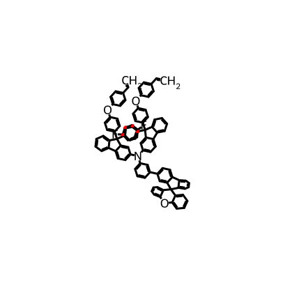 C=Cc1ccc(Oc2ccc(C3(c4ccc(F)cc4)c4ccccc4-c4ccc(N(c5cccc(-c6ccc7c(c6)C6(c8ccccc8Oc8ccccc86)c6ccccc6-7)c5)c5ccc6c(c5)C(c5ccc(F)cc5)(c5ccc(Oc7ccc(C=C)cc7)cc5)c5ccccc5-6)cc43)cc2)cc1